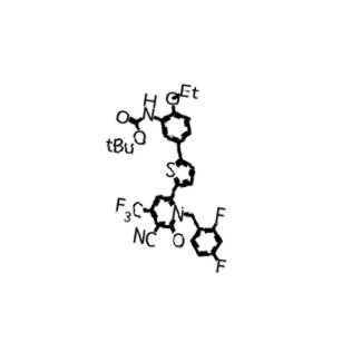 CCOc1ccc(-c2ccc(-c3cc(C(F)(F)F)c(C#N)c(=O)n3Cc3ccc(F)cc3F)s2)cc1NC(=O)OC(C)(C)C